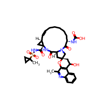 Cc1nc2ccccc2c2c1O[C@]1(CC2O)C[C@H]2C(=O)N[C@]3(C(=O)NS(=O)(=O)C4(C)CC4)C[C@H]3/C=C\CCCCC[C@H](NC(=O)O)C(=O)N2C1